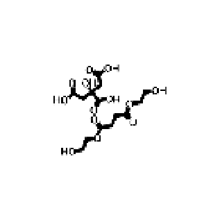 O=C(CCC(=O)OCCO)OCCO.O=C(O)CC(O)(CC(=O)O)C(=O)O